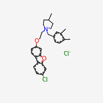 Cc1ccc(C[N+]2(CCOc3ccc4c(c3)oc3cc(Cl)ccc34)CCC(C)CC2)cc1C.[Cl-]